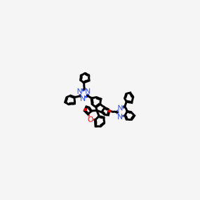 c1ccc(-c2nc(-c3ccccc3)nc(-c3ccc4c(c3)C3(c5ccccc5Oc5ccccc53)c3ccc(-c5nc(-c6ccccc6)c6ccccc6n5)cc3-4)n2)cc1